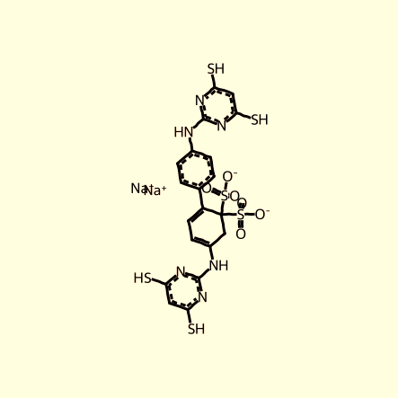 O=S(=O)([O-])C1(S(=O)(=O)[O-])CC(Nc2nc(S)cc(S)n2)=CC=C1c1ccc(Nc2nc(S)cc(S)n2)cc1.[Na+].[Na+]